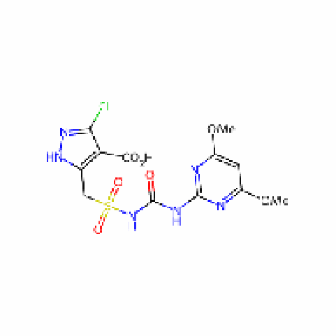 COc1cc(OC)nc(NC(=O)NS(=O)(=O)Cc2[nH]nc(Cl)c2C(=O)O)n1